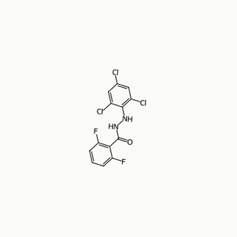 O=C(NNc1c(Cl)cc(Cl)cc1Cl)c1c(F)cccc1F